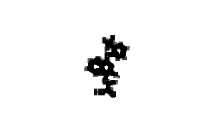 CC(Oc1c(F)cc(Oc2ccccc2C(F)(F)F)c2ccccc12)C(=O)O